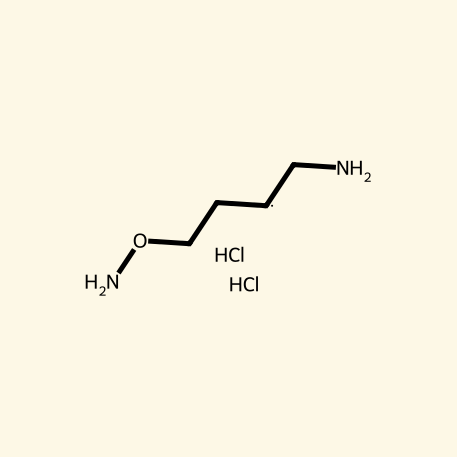 Cl.Cl.NC[CH]CCON